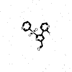 O=Cc1cc(-c2cccnc2F)c(S(=O)(=O)c2cccnc2)s1